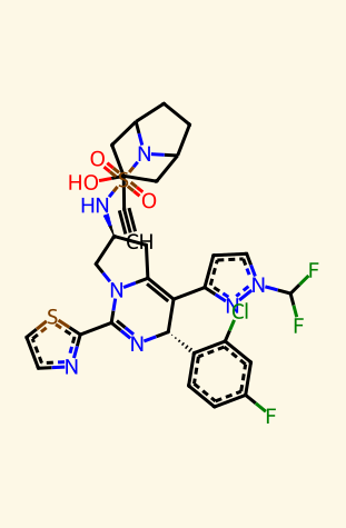 C#CC1(O)CC2CCC(C1)N2S(=O)(=O)N[C@H]1CC2=C(c3ccn(C(F)F)n3)[C@H](c3ccc(F)cc3Cl)N=C(c3nccs3)N2C1